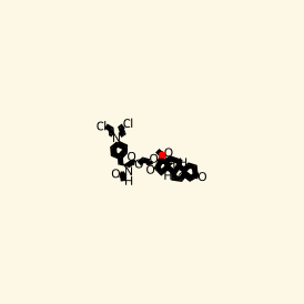 CC(=O)N[C@@H](Cc1ccc(N(CCCl)CCCl)cc1)C(=O)OCC(=O)O[C@]1(C(C)=O)CC[C@H]2[C@@H]3CCC4=CC(=O)CC[C@]4(C)[C@H]3CC[C@@]21C